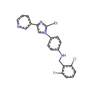 CCc1nc(-c2cccnc2)cn1-c1ccc(NCc2c(F)cccc2Cl)cc1